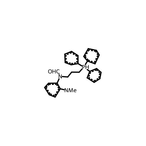 CNc1ccccc1N(C=O)CCC[PH](c1ccccc1)(c1ccccc1)c1ccccc1